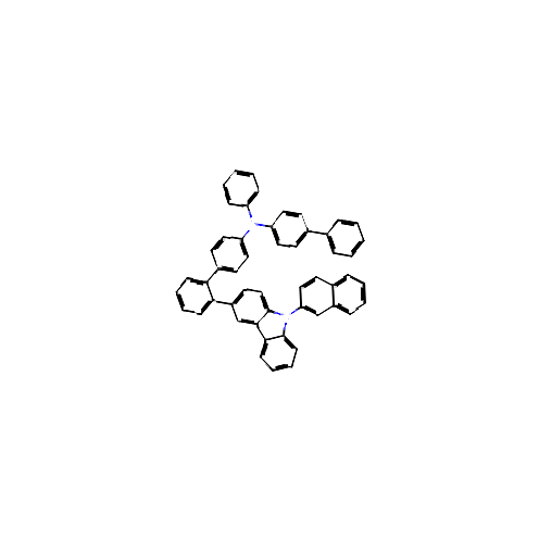 c1ccc(-c2ccc(N(c3ccccc3)c3ccc(-c4ccccc4-c4ccc5c(c4)c4ccccc4n5-c4ccc5ccccc5c4)cc3)cc2)cc1